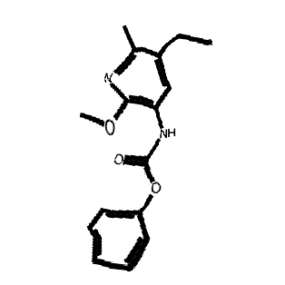 CCc1cc(NC(=O)Oc2ccccc2)c(OC)nc1C